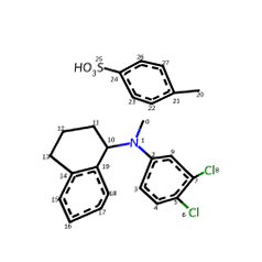 CN(c1ccc(Cl)c(Cl)c1)C1CCCc2ccccc21.Cc1ccc(S(=O)(=O)O)cc1